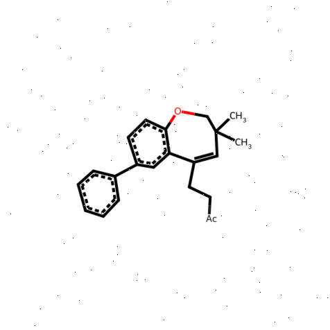 CC(=O)CCC1=CC(C)(C)COc2ccc(-c3ccccc3)cc21